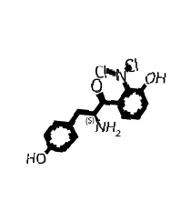 N[C@@H](Cc1ccc(O)cc1)C(=O)c1cccc(O)c1N(Cl)Cl